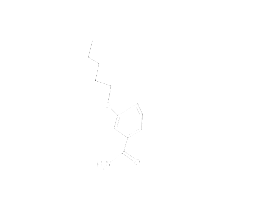 CCCCCOc1cccc(C(N)=O)c1